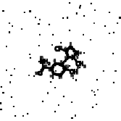 Cn1ncc(Cl)c1-c1cc(C(N)=O)ccc1O